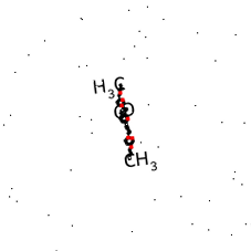 CCCCC[C@H]1CC[C@H](/C=C/C#Cc2ccc(OC(=O)[C@H]3CC[C@H](CCCCC)CC3)cc2)CC1